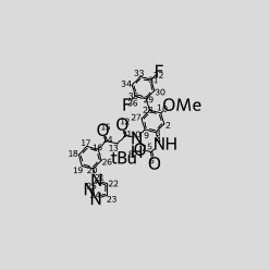 COc1cc(NC(=O)OC(C)(C)C)c(NC(=O)CC(=O)c2cccc(-n3ccnn3)c2)cc1-c1cc(F)ccc1F